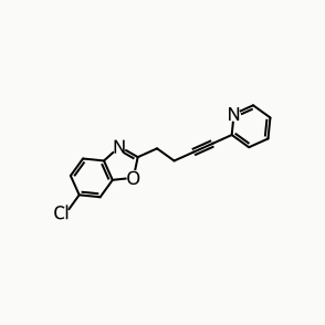 Clc1ccc2nc(CCC#Cc3ccccn3)oc2c1